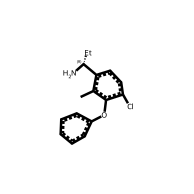 CC[C@@H](N)c1ccc(Cl)c(Oc2ccccc2)c1C